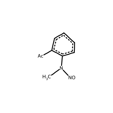 CC(=O)c1ccccc1N(C)N=O